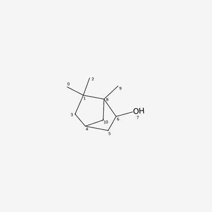 CC1(C)CC2CC(O)C1(C)C2